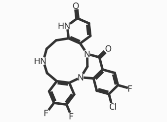 O=C1c2cc(F)c(Cl)cc2N2CN1c1ccc(=O)[nH]c1CCNCc1cc(F)c(F)cc12